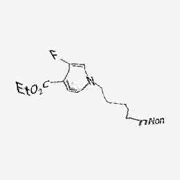 CCCCCCCCCCCCCn1cc(F)c(C(=O)OCC)c1